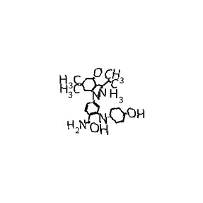 CC(C)c1nn(-c2ccc(C(N)=O)c(N[C@H]3CC[C@H](O)CC3)c2)c2c1C(=O)CC(C)(C)C2